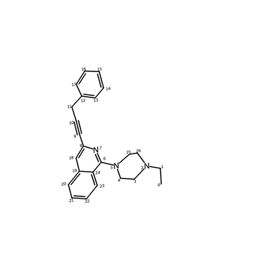 CCN1CCN(c2nc(C#CCc3ccccc3)cc3ccccc23)CC1